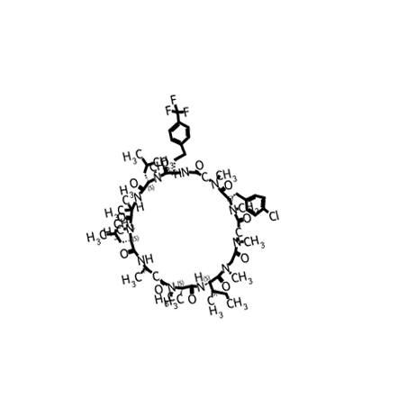 CC[C@H](C)[C@@H]1NC(=O)[C@H](C)N(C)C(=O)C[C@@H](C)NC(=O)[C@H](CC(C)C)N(C)C(=O)C(C)(C)NC(=O)[C@H](CC(C)C)N(C)C(=O)[C@H](CCc2ccc(C(F)(F)F)cc2)NC(=O)CN(C)C(=O)[C@H](Cc2ccc(Cl)cc2)N(C)C(=O)CN(C)C(=O)CN(C)C1=O